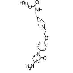 CC(C)(C)OC(=O)NCC1C2CN(CCOc3ccc(-n4ccc(N)nc4=O)cc3)CC12